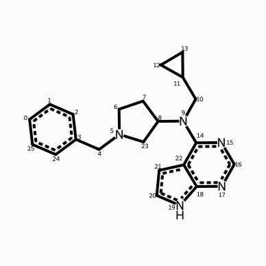 c1ccc(CN2CCC(N(CC3CC3)c3ncnc4[nH]ccc34)C2)cc1